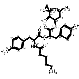 CCCCCC(=O)NC(Cc1ccc(N)cc1)C(=O)NC(Cc1ccc(N)cc1)C(=O)NC(CC(C)C)C(=O)C1(C)CO1